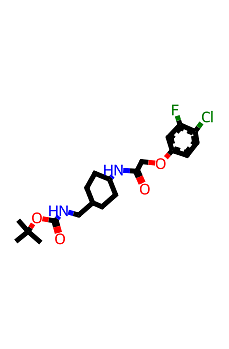 CC(C)(C)OC(=O)NCC1CCC(NC(=O)COc2ccc(Cl)c(F)c2)CC1